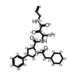 C=CCNC(=O)C(=O)C(CCC)NC(=O)C1CC(c2ccccc2)CN1C(=O)CC1CCCCC1